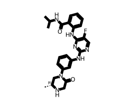 CC(C)NC(=O)c1ccccc1Nc1nc(Nc2cccc(N3C[C@@H](C)NCC3=O)c2)ncc1F